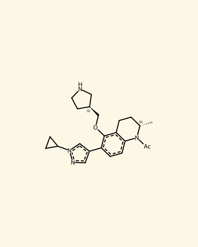 CC(=O)N1c2ccc(-c3cnn(C4CC4)c3)c(OC[C@H]3CCNC3)c2CC[C@@H]1C